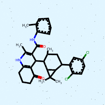 CC1=C(C(=O)Nc2ccccc2C)C(C2C(C)CC(c3cc(Cl)ccc3Cl)C3C2C3(C)C)C2=C(CCCC2=O)N1